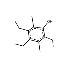 CCc1c(C)c(CC)c(CC)c(C)c1O